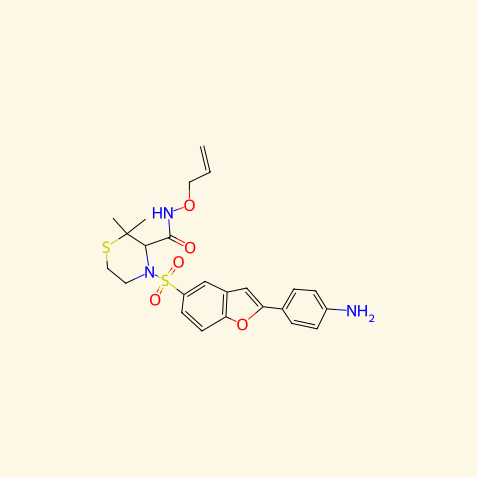 C=CCONC(=O)C1N(S(=O)(=O)c2ccc3oc(-c4ccc(N)cc4)cc3c2)CCSC1(C)C